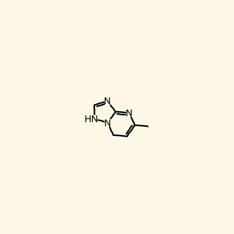 CC1=CCN2NC=NC2=N1